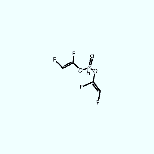 O=[PH](O/C(F)=C/F)O/C(F)=C/F